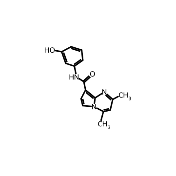 Cc1cc(C)n2ccc(C(=O)Nc3cccc(O)c3)c2n1